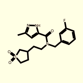 Cc1cc(C(=O)N(CCC2CCS(=O)(=O)C2)Cc2cccc(F)c2)[nH]n1